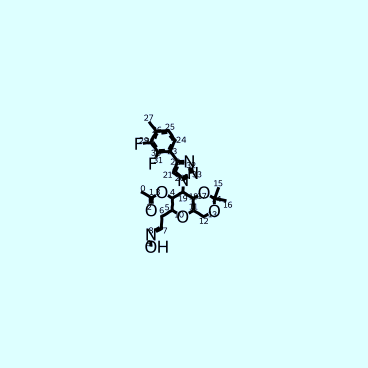 CC(=O)OC1C(CC=NO)OC2COC(C)(C)OC2C1n1cc(-c2ccc(C)c(F)c2F)nn1